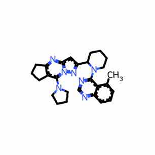 Cc1cccc2ncnc(N3CCCCC3c3cc4nc5c(c(N6CCCC6)n4n3)CCC5)c12